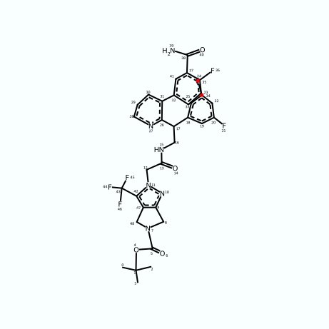 CC(C)(C)OC(=O)N1Cc2nn(CC(=O)NCC(c3cc(F)cc(F)c3)c3ncccc3-c3ccc(F)c(C(N)=O)c3)c(C(F)(F)F)c2C1